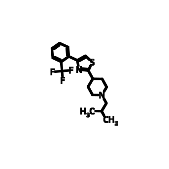 CC(C)CN1CCC(c2nc(-c3ccccc3C(F)(F)F)cs2)CC1